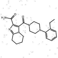 CCc1ccccc1N1CCN(C(=O)c2c(C(N)=O)nc3n2CCCC3)CC1